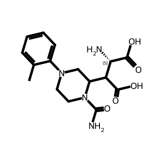 Cc1ccccc1N1CCN(C(N)=O)C(C(C(=O)O)[C@H](N)C(=O)O)C1